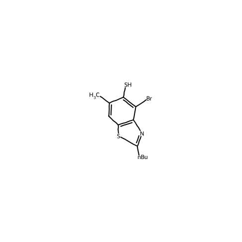 CCCCc1nc2c(Br)c(S)c(C)cc2s1